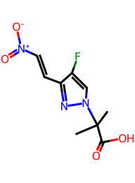 CC(C)(C(=O)O)n1cc(F)c(C=C[N+](=O)[O-])n1